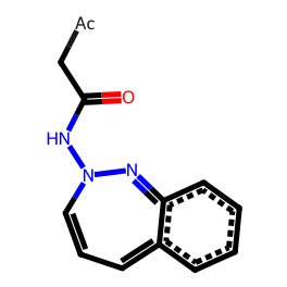 CC(=O)CC(=O)NN1C=CC=c2ccccc2=N1